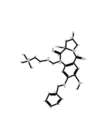 COc1cc2c(cc1OCc1ccccc1)N(COCC[Si](C)(C)C)C(=O)[C@@H]1C[C@@H](C)CN1C2=O